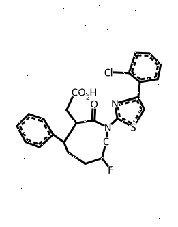 O=C(O)CC1C(=O)N(c2nc(-c3ccccc3Cl)cs2)CC(F)CCC1c1ccccc1